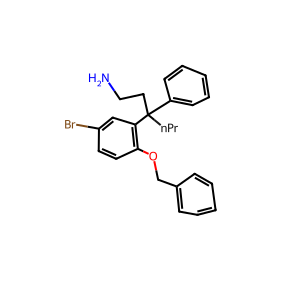 CCCC(CCN)(c1ccccc1)c1cc(Br)ccc1OCc1ccccc1